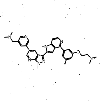 CN(C)CCOc1cc(F)cc(-c2nccc3[nH]c(-c4n[nH]c5ncc(-c6cncc(CN(C)C)c6)cc45)cc23)c1